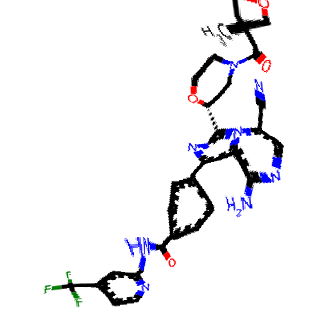 CC1(C(=O)N2CCO[C@@H](c3nc(-c4ccc(C(=O)Nc5cc(C(F)(F)F)ccn5)cc4)c4c(N)ncc(C#N)n34)C2)COC1